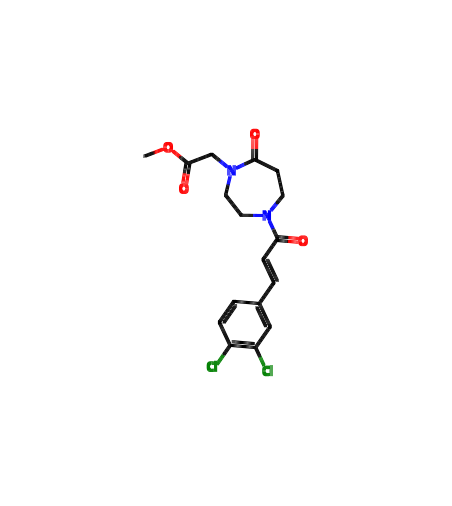 COC(=O)CN1CCN(C(=O)/C=C/c2ccc(Cl)c(Cl)c2)CCC1=O